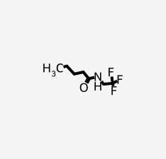 CCCCC(=O)NCC(F)(F)F